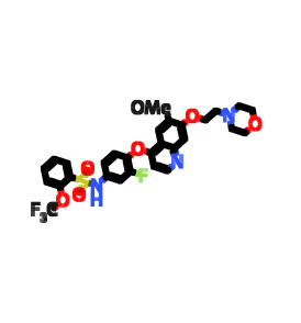 COc1cc2c(Oc3ccc(NS(=O)(=O)c4ccccc4OC(F)(F)F)cc3F)ccnc2cc1OCCN1CCOCC1